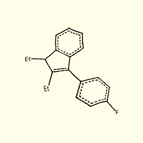 CCC1=C(c2ccc(F)cc2)c2ccccc2C1CC